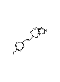 CCCCCCCCSC(C=Cc1ccc(F)cc1)Cn1ccnc1